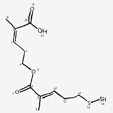 CC(=CCCOC(=O)C(C)=CCCSS)C(=O)O